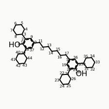 Oc1c(C2CCCCC2)cc(CCCCCCCc2cc(C3CCCCC3)c(O)c(C3CCCCC3)c2)cc1C1CCCCC1